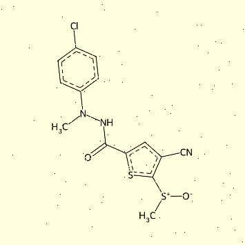 CN(NC(=O)c1cc(C#N)c([S+](C)[O-])s1)c1ccc(Cl)cc1